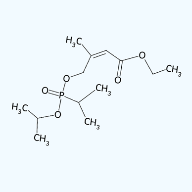 CCOC(=O)C=C(C)COP(=O)(OC(C)C)C(C)C